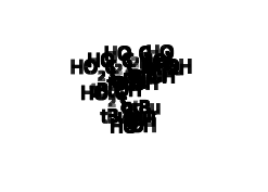 CC(C)(C)c1cc(CCC(=O)O)cc(C(C)(C)C)c1O.CC(C)(C)c1cc(CCC(=O)O)cc(C(C)(C)C)c1O.CC(C)(C)c1cc(CCC(=O)O)cc(C(C)(C)C)c1O.CC(C)(C)c1cc(CCC(=O)O)cc(C(C)(C)C)c1O.O=P(O)(O)O.OCC(CO)(CO)CO